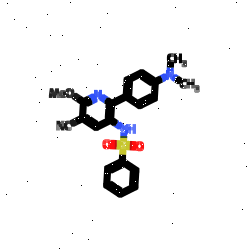 COc1nc(-c2ccc(N(C)C)cc2)c(NS(=O)(=O)c2ccccc2)cc1C#N